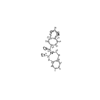 CCC1Cc2ccccc2CCN1C(=O)c1ccc2ncsc2c1